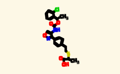 CC(SCCc1ccc(-c2nocc2NC(=O)O[C@H](C)c2ccccc2Cl)cc1)C(=O)O